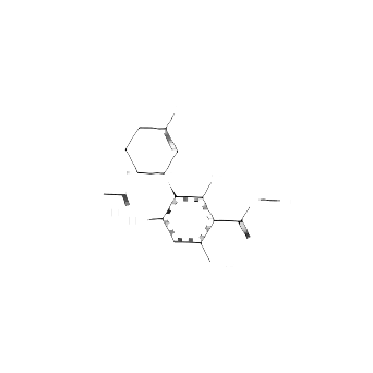 C=C(C)[C@@H]1CCC(C)=C[C@H]1c1c(O)cc(CCCCC)c(C(=O)OC(C)C)c1O